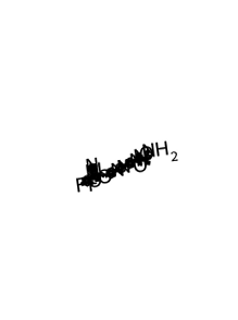 CCC(C(C)ON)n1ncn(-c2ccc(N3CCN(c4ccc(OCC5COC(Cn6cncn6)(c6ccc(F)cc6F)C5)cc4)CC3)cc2)c1=O